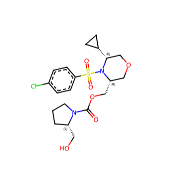 O=C(OC[C@H]1COC[C@@H](C2CC2)N1S(=O)(=O)c1ccc(Cl)cc1)N1CCC[C@H]1CO